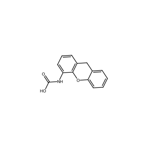 O=C(O)Nc1cccc2c1Oc1ccccc1C2